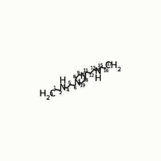 C=CCNCCCN1CCN(CCCNCC=C)CC1